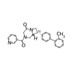 Cc1ccccc1-c1ccc([C@H]2CN3C(=O)CN(C(=O)c4cccnc4)C[C@@H]23)cc1